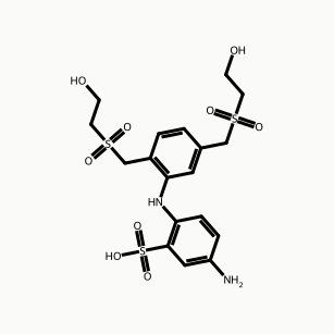 Nc1ccc(Nc2cc(CS(=O)(=O)CCO)ccc2CS(=O)(=O)CCO)c(S(=O)(=O)O)c1